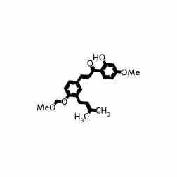 COCOc1ccc(C=CC(=O)c2ccc(OC)cc2O)cc1CC=C(C)C